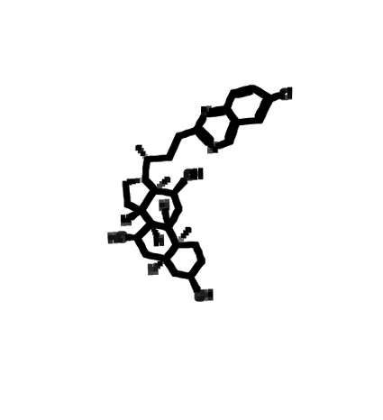 C[C@H](CCc1ncc2cc(Cl)ccc2n1)[C@H]1CC[C@H]2[C@@H]3[C@H](O)C[C@@H]4C[C@H](O)CC[C@]4(C)[C@H]3C[C@H](O)[C@]12C